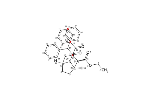 CCOC(=O)[C@H]1[C@H]2CC[C@@H](CN1C(=O)c1ccccc1)N2C(=O)C(c1ccccc1)c1ccccc1